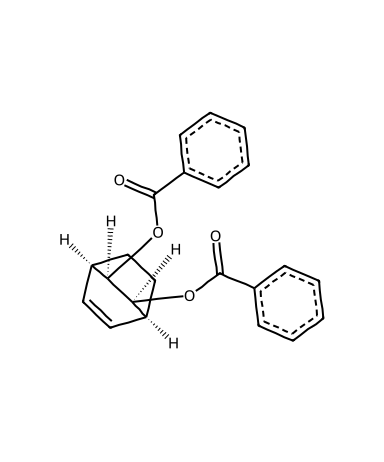 O=C(O[C@@H]1[C@H](OC(=O)c2ccccc2)[C@H]2C=C[C@@H]1CC2)c1ccccc1